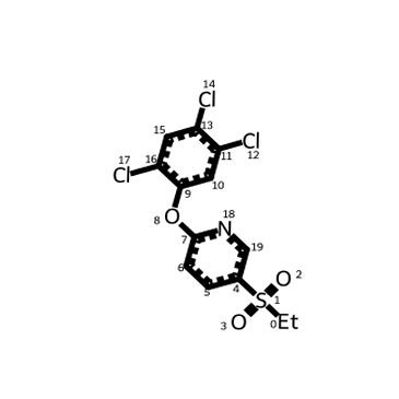 CCS(=O)(=O)c1ccc(Oc2cc(Cl)c(Cl)cc2Cl)nc1